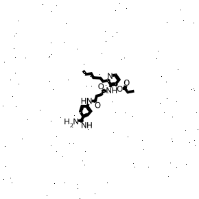 CCCCCCc1nccc(OC(=O)CC)c1NC(=O)CCC(=O)Nc1ccc(C(=N)N)cc1